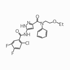 CCOCCN(C(=O)c1cc(NC(=O)c2cc(F)c(F)cc2Cl)[nH]n1)c1ccccc1